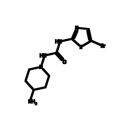 NC1CCN(NC(=O)Nc2ncc(Br)s2)CC1